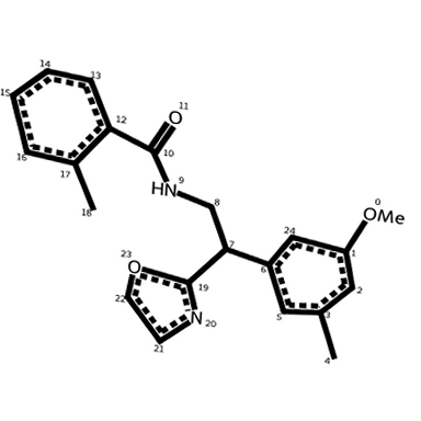 COc1cc(C)cc(C(CNC(=O)c2ccccc2C)c2ncco2)c1